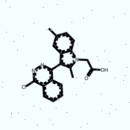 Cc1ccc2c(c1)c(-c1nnc(Cl)c3ccccc13)c(C)n2CC(=O)O